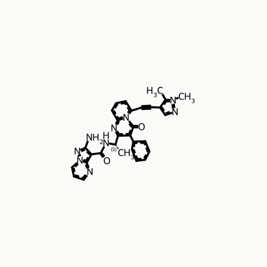 Cc1c(C#Cc2cccc3nc([C@H](C)NC(=O)c4c(N)nn5cccnc45)c(-c4ccccc4)c(=O)n23)cnn1C